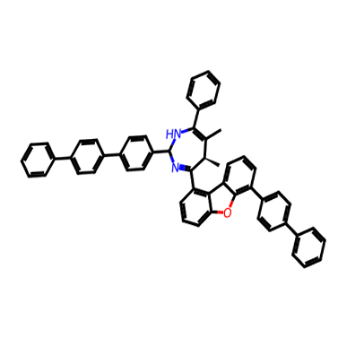 CC1=C(c2ccccc2)NC(c2ccc(-c3ccc(-c4ccccc4)cc3)cc2)N=C(c2cccc3oc4c(-c5ccc(-c6ccccc6)cc5)cccc4c23)[C@@H]1C